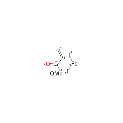 C=CC(=O)OC.[I][Pb][I]